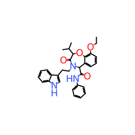 CCOc1cccc2c1OC(C(C)C)C(=O)N(CCc1c[nH]c3ccccc13)C2C(=O)Nc1ccccc1